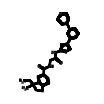 CC1(CN)CCc2ccc(C(=O)NCC(=O)Nc3nc(-c4cccc(-c5ccncc5)c4)cs3)cc21